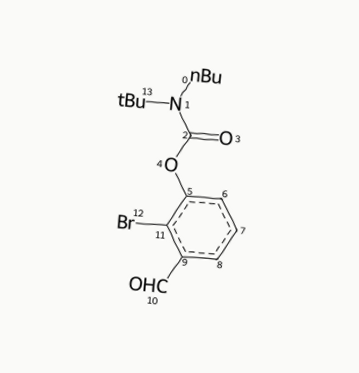 CCCCN(C(=O)Oc1cccc(C=O)c1Br)C(C)(C)C